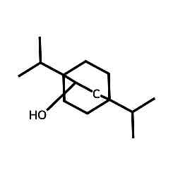 CC(C)C12CCC(C(C)C)(CC1)C(O)C2